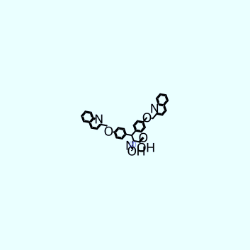 O=C(O)/C(=N\O)C(c1ccc(OCc2ccc3ccccc3n2)cc1)c1ccc(OCc2ccc3ccccc3n2)cc1